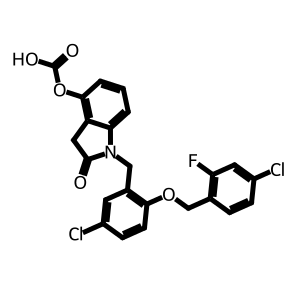 O=C(O)Oc1cccc2c1CC(=O)N2Cc1cc(Cl)ccc1OCc1ccc(Cl)cc1F